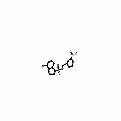 Nc1cccc2c(S(=O)(=O)NCc3cccc([N+](=O)[O-])c3)cccc12